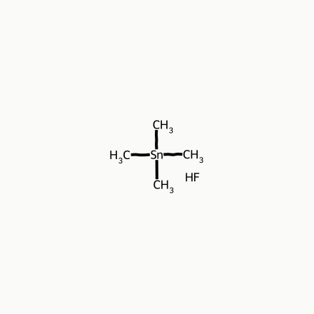 F.[CH3][Sn]([CH3])([CH3])[CH3]